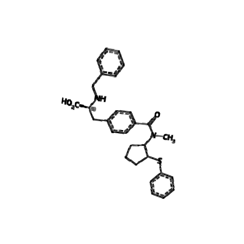 CN(C(=O)c1ccc(C[C@H](NCc2ccccc2)C(=O)O)cc1)C1CCCC1Sc1ccccc1